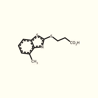 Cc1cccc2sc(SCCC(=O)O)nc12